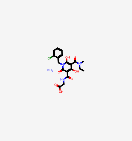 CCN(C)C(=O)c1c(O)c(C(=O)NCC(=O)O)c(=O)n(Cc2ccccc2Cl)c1O.N